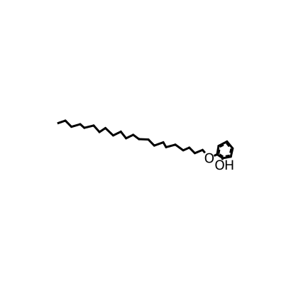 CCCCCCCCCCCCCCCCCCCCCCOc1ccccc1O